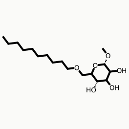 CCCCCCCCCCOCC1O[C@H](OC)C(O)C(O)[C@@H]1O